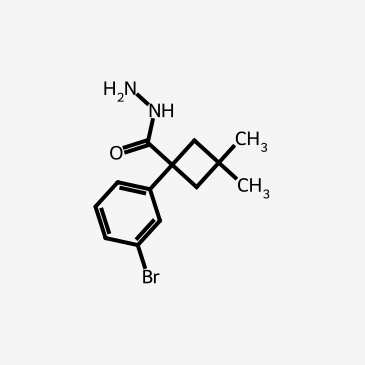 CC1(C)CC(C(=O)NN)(c2cccc(Br)c2)C1